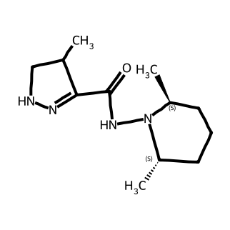 CC1CNN=C1C(=O)NN1[C@@H](C)CCC[C@@H]1C